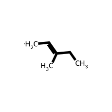 [CH2]/C=C(\C)CC